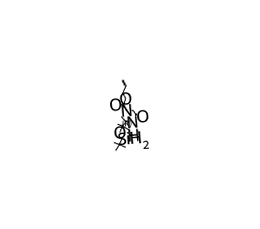 C=CCOC(=O)N1CC(=O)N[C@@H](C(C)(C)O[SiH2]C(C)(C)C)C1